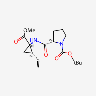 C=C[C@@H]1C[C@]1(NC(=O)[C@@H]1CCCN1C(=O)OC(C)(C)C)C(=O)OC